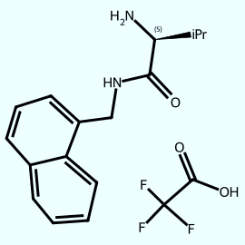 CC(C)[C@H](N)C(=O)NCc1cccc2ccccc12.O=C(O)C(F)(F)F